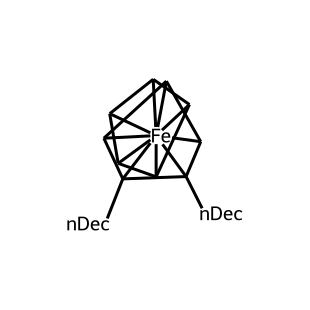 CCCCCCCCCC[C]12[CH]3[CH]4[CH]5[C]1(CCCCCCCCCC)[Fe]43521678[CH]2[CH]1[CH]6[CH]7[CH]28